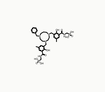 Cc1cc(CN2CCCN(Cc3ccccc3)CCN(Cc3cc(C)cc(C(=O)NCP(=O)(O)O)c3O)CC2)c(O)c(C(=O)NCP(=O)(O)O)c1